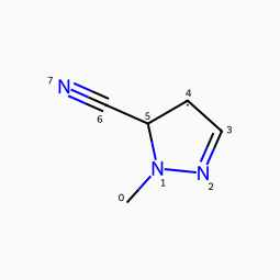 CN1N=C[CH]C1C#N